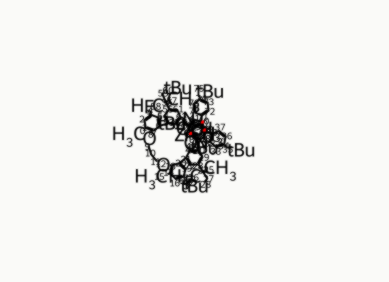 Cc1cc(F)cc2c1OCCCOc1c(C)cc(F)cc1-c1cc(C(C)(C)CC(C)(C)C)cc(-n3c4cc(C(C)(C)C)ccc4c4ccc(C(C)(C)C)cc43)c1[O][Zr]([CH3])([CH3])[O]c1c-2cc(C(C)(C)CC(C)(C)C)cc1-n1c2cc(C(C)(C)C)ccc2c2ccc(C(C)(C)C)cc21